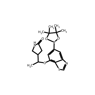 CC(Oc1cc(B2OC(C)(C)C(C)(C)O2)cc2ncsc12)C1CNC(=O)C1